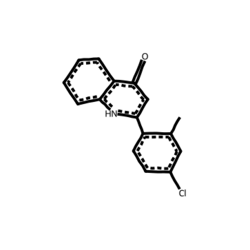 Cc1cc(Cl)ccc1-c1cc(=O)c2ccccc2[nH]1